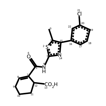 Cc1sc(NC(=O)C2=CCCCC2C(=O)O)nc1-c1cccc(Cl)c1